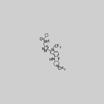 CN1CC[C@H](Nc2cccc3c2cc(-c2nnc(CNC(=O)C4CCC4)s2)n3CC(F)(F)F)[C@H](F)C1